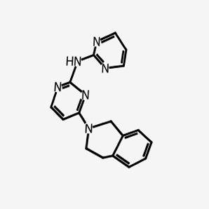 c1cnc(Nc2nccc(N3CCc4ccccc4C3)n2)nc1